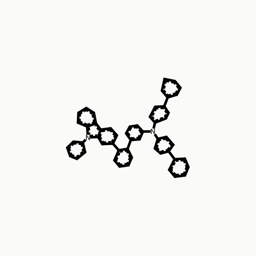 c1ccc(-c2ccc(N(c3ccc(-c4ccccc4)cc3)c3cccc(-c4ccccc4-c4ccc5c6ccccc6n(-c6ccccc6)c5c4)c3)cc2)cc1